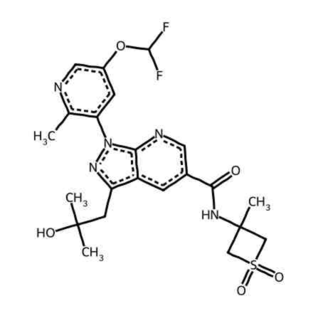 Cc1ncc(OC(F)F)cc1-n1nc(CC(C)(C)O)c2cc(C(=O)NC3(C)CS(=O)(=O)C3)cnc21